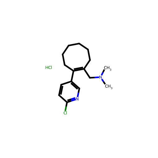 CN(C)CC1=C(c2ccc(Cl)nc2)CCCCCC1.Cl